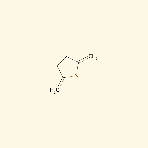 C=C1CCC(=C)S1